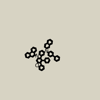 c1ccc(-c2ccc(N(c3ccc4ccccc4c3)c3ccc4c(c3)c3c(-c5ccccc5)c5c(cc3n4-c3cc4ccccc4c4ccccc34)oc3ccccc35)cc2)cc1